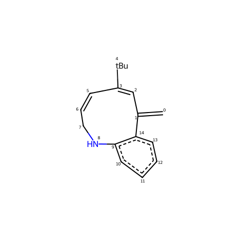 C=C1/C=C(C(C)(C)C)\C=C/CNc2ccccc21